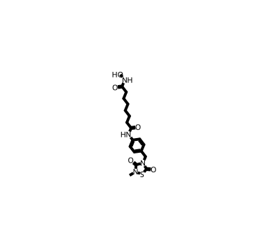 Cn1sc(=O)n(Cc2ccc(NC(=O)CCCCCCC(=O)NO)cc2)c1=O